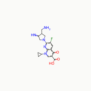 N=C1CN(c2nc3c(cc2F)c(=O)c(C(=O)O)cn3C2CC2)CC1CN